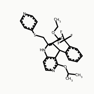 CCOC(=O)C1=C(CSc2ccncc2)Nc2ccnc(OC(C)C)c2C1c1ccccc1C(F)(F)F